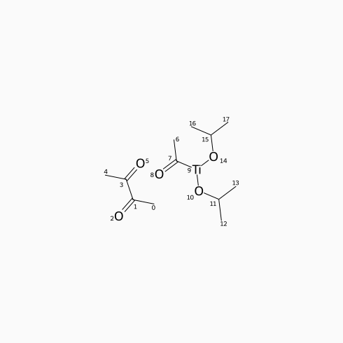 CC(=O)C(C)=O.C[C](=O)[Ti]([O]C(C)C)[O]C(C)C